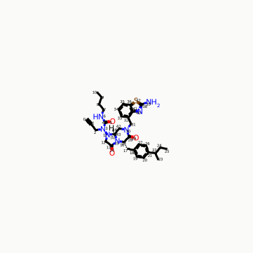 C#CCN(C(=O)NCCCC)N1CC(=O)N2[C@@H](Cc3ccc(C(C)CC)cc3)C(=O)N(Cc3cccc4sc(N)nc34)C[C@@H]21